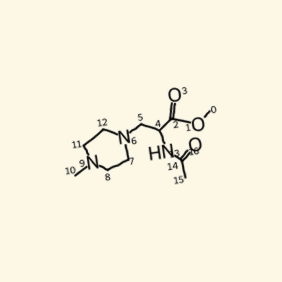 COC(=O)C(CN1CCN(C)CC1)NC(C)=O